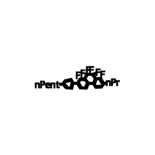 CCCCCc1ccc(-c2ccc3c(c2F)C(F)(F)C(F)(F)c2c-3ccc(CCC)c2F)cc1